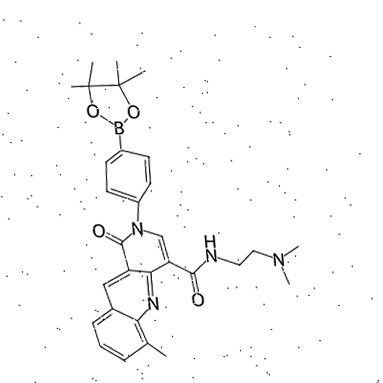 Cc1cccc2cc3c(=O)n(-c4ccc(B5OC(C)(C)C(C)(C)O5)cc4)cc(C(=O)NCCN(C)C)c3nc12